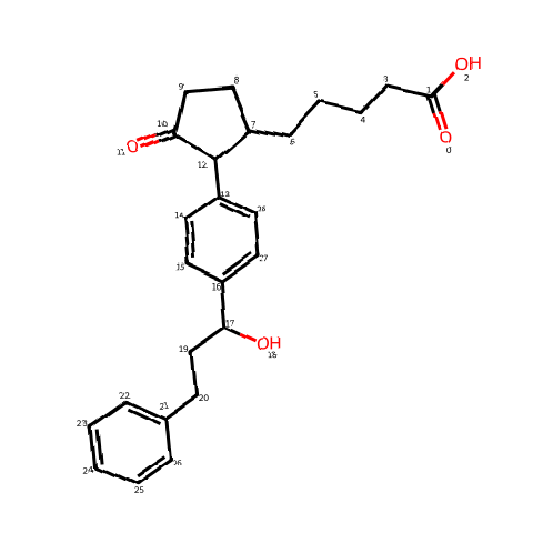 O=C(O)CCCCC1CCC(=O)C1c1ccc(C(O)CCc2ccccc2)cc1